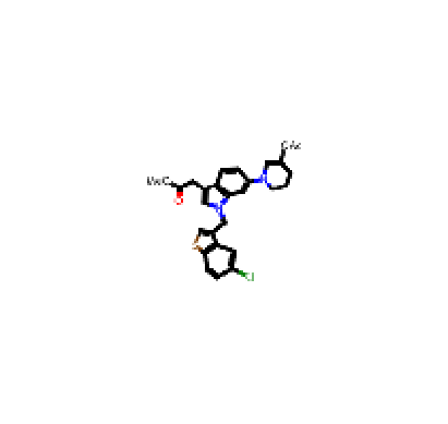 COC(=O)Cc1cn(Cc2csc3ccc(Cl)cc23)c2cc(N3CCCC(OC(C)=O)C3)ccc12